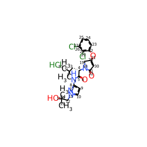 CC(C)C[C@@H](C(=O)Nc1ccn(CC(C)(C)O)n1)N1CC(Oc2cccc(Cl)c2Cl)=CC1=O.Cl